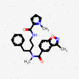 Cc1noc2ccc(C(=O)N(C)C(CCNC(=O)c3cccn3C)Cc3ccccc3)cc12